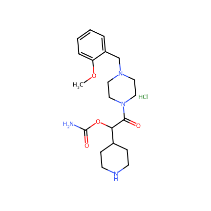 COc1ccccc1CN1CCN(C(=O)C(OC(N)=O)C2CCNCC2)CC1.Cl